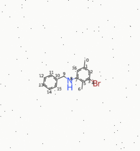 [CH2]c1cc(Br)c(C)c(NCc2ccccc2)c1